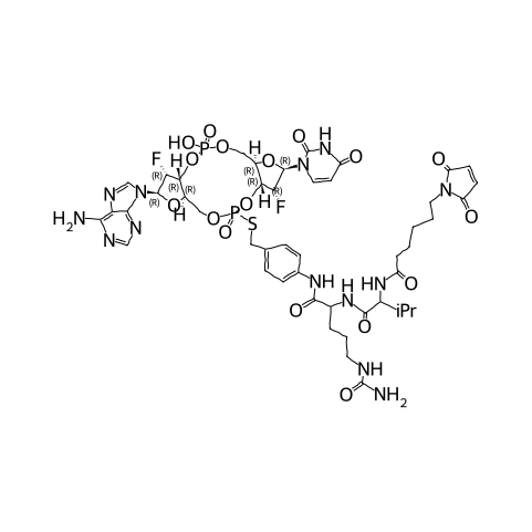 CC(C)C(NC(=O)CCCCCN1C(=O)C=CC1=O)C(=O)NC(CCCNC(N)=O)C(=O)Nc1ccc(CSP2(=O)OC[C@H]3O[C@@H](n4cnc5c(N)ncnc54)[C@H](F)[C@@H]3OP(=O)(O)OC[C@H]3O[C@@H](n4ccc(=O)[nH]c4=O)[C@H](F)[C@@H]3O2)cc1